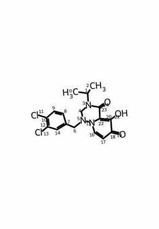 CC(C)N1CN(Cc2ccc(Cl)c(Cl)c2)n2ccc(=O)c(O)c2C1=O